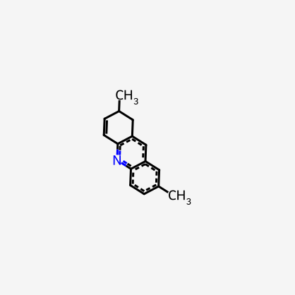 Cc1ccc2nc3c(cc2c1)CC(C)C=C3